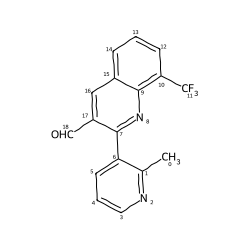 Cc1ncccc1-c1nc2c(C(F)(F)F)cccc2cc1C=O